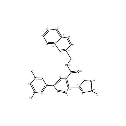 Cc1cc(C)cc(-c2cnc(-c3cnn(C)c3)c(C(=O)NCc3ccc4ccccc4c3)c2)c1